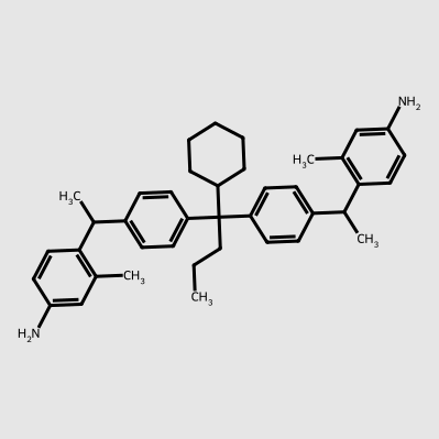 CCCC(c1ccc(C(C)c2ccc(N)cc2C)cc1)(c1ccc(C(C)c2ccc(N)cc2C)cc1)C1CCCCC1